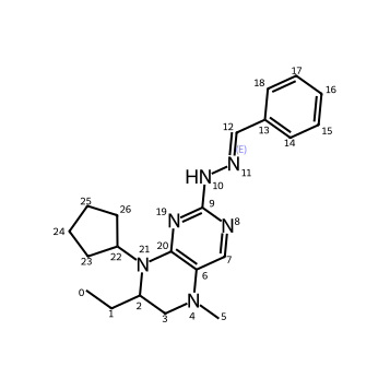 CCC1CN(C)c2cnc(N/N=C/c3ccccc3)nc2N1C1CCCC1